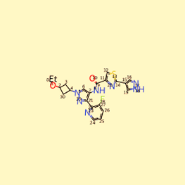 CCO[C@H]1C[C@@H](n2cc(NC(=O)c3csc(-c4cn[nH]c4)n3)c(-c3ncccc3F)n2)C1